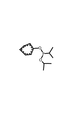 CC(C)OP(Oc1ccccc1)C(C)C